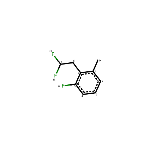 Cc1cccc(F)c1CC(F)F